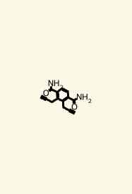 C#CCc1c(C(N)=O)ccc(C(N)=O)c1CC#C